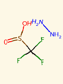 NN.O=S(O)C(F)(F)F